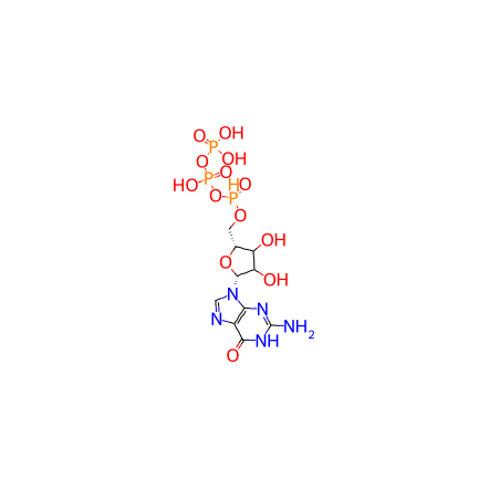 Nc1nc2c(ncn2[C@@H]2O[C@H](CO[PH](=O)OP(=O)(O)OP(=O)(O)O)C(O)C2O)c(=O)[nH]1